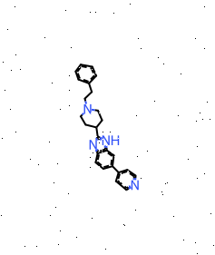 c1ccc(CCN2CCC(c3nc4ccc(-c5ccncc5)cc4[nH]3)CC2)cc1